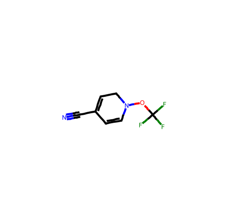 N#CC1=CCN(OC(F)(F)F)C=C1